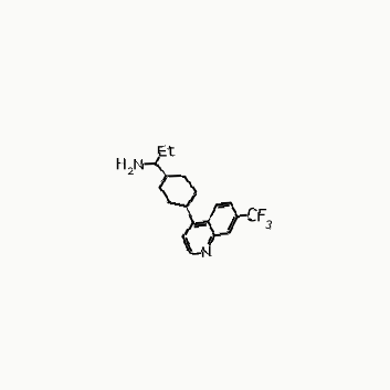 CCC(N)[C@H]1CC[C@@H](c2ccnc3cc(C(F)(F)F)ccc32)CC1